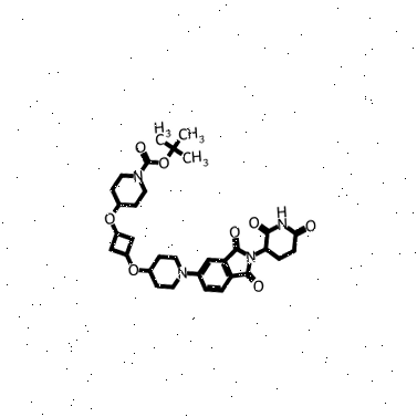 CC(C)(C)OC(=O)N1CCC(OC2CC(OC3CCN(c4ccc5c(c4)C(=O)N(C4CCC(=O)NC4=O)C5=O)CC3)C2)CC1